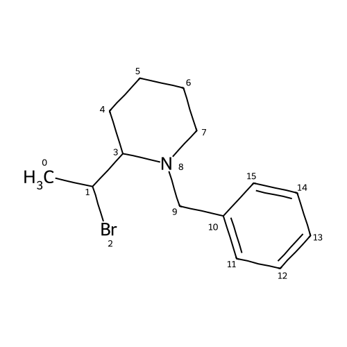 CC(Br)C1CCCCN1Cc1ccccc1